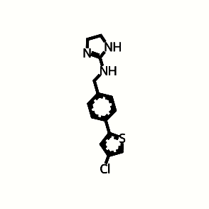 Clc1csc(-c2ccc(CNC3=NCCN3)cc2)c1